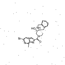 Cc1nc(Br)cn2cc(C(=O)N3CC[C@]4(Cc5ccccc5CN4)[C@H](O)C3)nc12